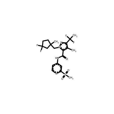 Cc1c(C(C)(F)F)nn(CC2(C)CCC(F)(F)C2)c1C(=O)Nc1ccnc(S(C)(=O)=O)c1